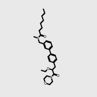 CCCCCCCC(=O)N(C)Cc1cccc(-c2ccc(CC(OCC)C(=O)N3CCOCC3)cc2)c1